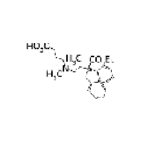 CCOC(=O)[C@](Cc1ccccc1)(c1ccccc1)C(C)CN(C)CCCC(=O)O